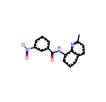 Cc1ccc2cccc(NC(=O)c3cccc([N+](=O)[O-])c3)c2n1